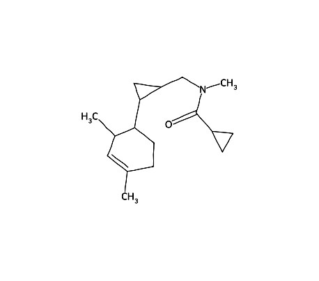 CC1=CC(C)C(C2CC2CN(C)C(=O)C2CC2)CC1